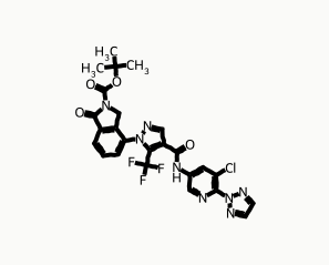 CC(C)(C)OC(=O)N1Cc2c(cccc2-n2ncc(C(=O)Nc3cnc(-n4nccn4)c(Cl)c3)c2C(F)(F)F)C1=O